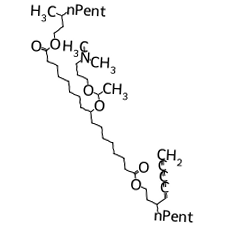 C=C=C=C=CC(CCCCC)CCOC(=O)CCCCCCCC(CCCCCCCC(=O)OCCC(C)CCCCC)OC(C)OCCCN(C)C